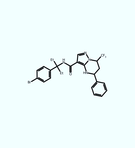 CCC(CC)(NC(=O)c1cnn2c1NC(c1ccccc1)CC2C(F)(F)F)c1ccc(Br)cc1